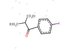 CCOC(=O)C(C(=O)OCC)C(=O)c1ccc(I)cc1